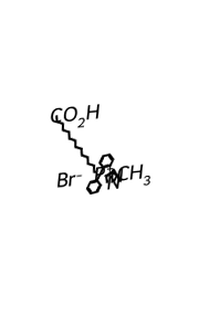 Cn1cc([P+](CCCCCCCCCCCCCC(=O)O)(c2ccccc2)c2ccccc2)cn1.[Br-]